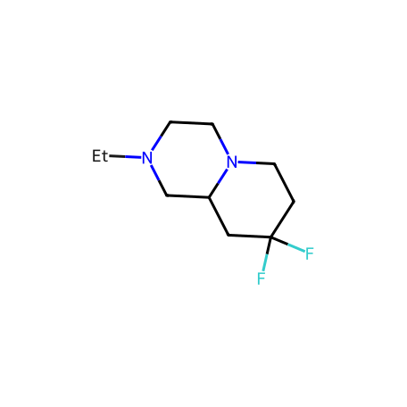 CCN1CCN2CCC(F)(F)CC2C1